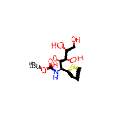 CC(C)(C)OC(=O)N[C@H](c1cccs1)[C@@H](O)[C@H](O)[C@H](O)CO